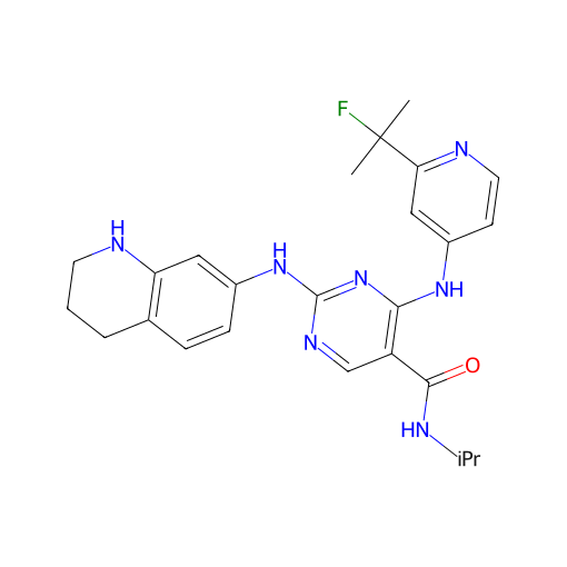 CC(C)NC(=O)c1cnc(Nc2ccc3c(c2)NCCC3)nc1Nc1ccnc(C(C)(C)F)c1